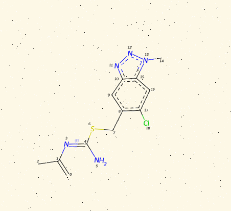 C=C(C)/N=C(\N)SCc1cc2nnn(C)c2cc1Cl